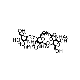 CCCC(=O)O[C@@H]1C(NC(C)=O)[C@H](O)OC(CO)[C@H]1COC[C@@H]1OC(CO)[C@@H](COC[C@@H]2OC(CO)[C@@H](O)[C@H](O)C2NC(C)=O)[C@H](OC(=O)CCC)C1NC(C)=O